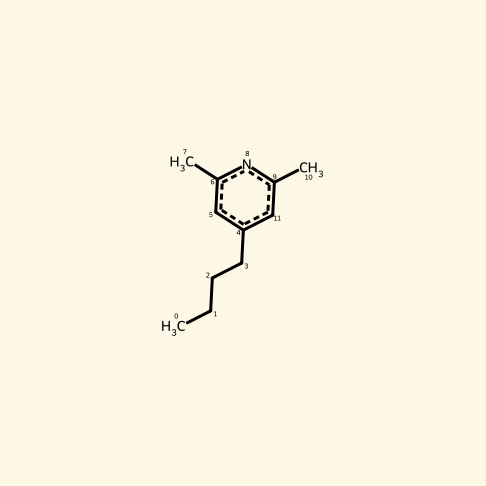 CCCCc1cc(C)nc(C)c1